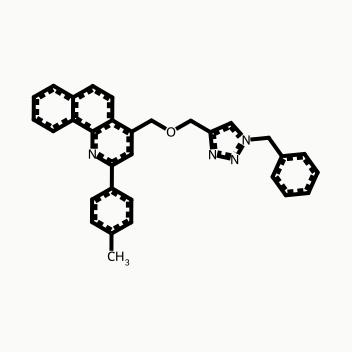 Cc1ccc(-c2cc(COCc3cn(Cc4ccccc4)nn3)c3ccc4ccccc4c3n2)cc1